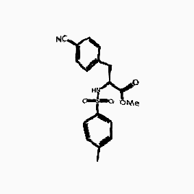 COC(=O)[C@H](Cc1ccc(C#N)cc1)NS(=O)(=O)c1ccc(C)cc1